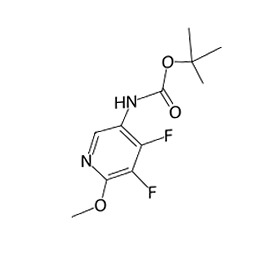 COc1ncc(NC(=O)OC(C)(C)C)c(F)c1F